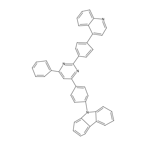 c1ccc(-c2cc(-c3ccc(-n4c5ccccc5c5ccccc54)cc3)nc(-c3ccc(-c4ccnc5ccccc45)cc3)n2)cc1